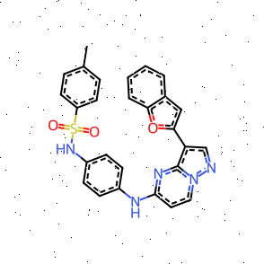 Cc1ccc(S(=O)(=O)Nc2ccc(Nc3ccn4ncc(-c5cc6ccccc6o5)c4n3)cc2)cc1